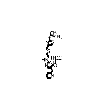 CN(C)Cc1nc(CSCCNc2ncc(Cc3ccccn3)c(=O)[nH]2)cs1.Cl.Cl.Cl